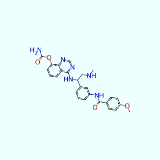 CNCC(Nc1ncnc2c(OC(N)=O)cccc12)c1cccc(NC(=O)c2ccc(OC)cc2)c1